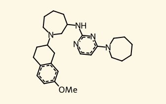 COc1ccc2c(c1)CC(N1CCCCC(Nc3nccc(N4CCCCCC4)n3)C1)CC2